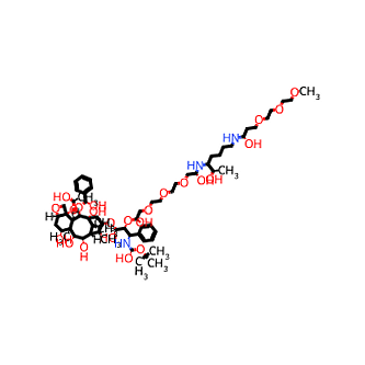 COCCOCCOCC[C@@H](O)NCCCCC(N[C@@H](O)COCCOCCOC[C@@H](O)O[C@H]([C@H](O)O[C@@H]1C[C@]2(O)[C@H](O[C@H](O)c3ccccc3)[C@H]3[C@@]4(O[C@H](C)O)CO[C@H]4C[C@@H](O)[C@]3(C)[C@@H](O)[C@@H](O)[C@@H](C1C)C2(C)C)[C@H](N[C@@H](O)OC(C)(C)C)c1ccccc1)[C@@H](C)O